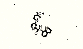 CC1(O)CCN(c2ccnc(C(=O)Nc3cccc4cccnc34)c2)CC1